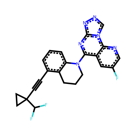 Fc1cnc2c(c1)c(N1CCCc3c(C#CC4(C(F)F)CC4)cccc31)nc1nncn12